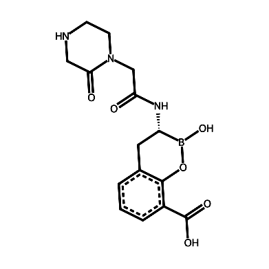 O=C(CN1CCNCC1=O)N[C@H]1Cc2cccc(C(=O)O)c2OB1O